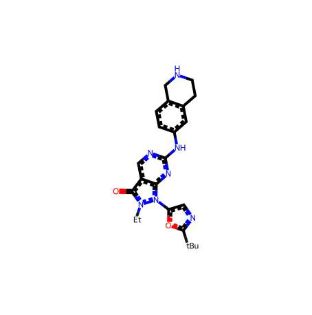 CCn1c(=O)c2cnc(Nc3ccc4c(c3)CCNC4)nc2n1-c1cnc(C(C)(C)C)o1